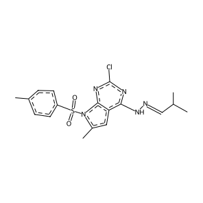 Cc1ccc(S(=O)(=O)n2c(C)cc3c(N/N=C/C(C)C)nc(Cl)nc32)cc1